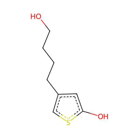 OCCCCc1csc(O)c1